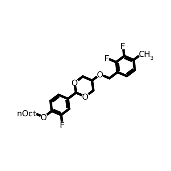 CCCCCCCCOc1ccc(C2OCC(OCc3ccc(C)c(F)c3F)CO2)cc1F